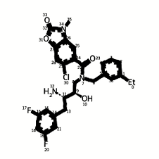 CCc1cccc(CN(C[C@@H](O)[C@@H](N)Cc2cc(F)cc(F)c2)C(=O)c2cc3c(cc2Cl)oc(=O)n3C)c1